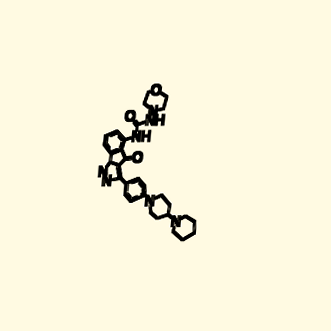 O=C(Nc1cccc2c1C(=O)C1=C(c3ccc(N4CCC(N5CCCCC5)CC4)cc3)N=NC12)NN1CCOCC1